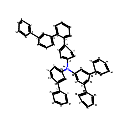 c1ccc(-c2cccc(-c3ccccc3-c3ccc(N(c4cccc(-c5ccccc5)c4)c4cc(-c5ccccc5)cc(-c5ccccc5)c4)cc3)c2)cc1